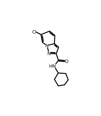 O=C(NC1CCCCC1)c1cc2ccc(Cl)cn2n1